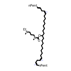 CCCCCC=CC/C=C\CCCCCCCCC(CCCCCCCC/C=C\C/C=C\CCCCC)OC(=O)N(C)CCCN(C)CC